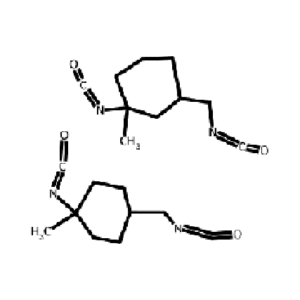 CC1(N=C=O)CCC(CN=C=O)CC1.CC1(N=C=O)CCCC(CN=C=O)C1